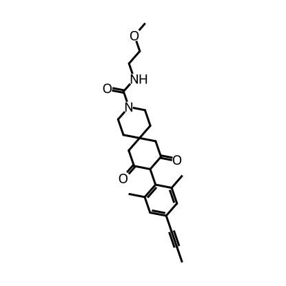 CC#Cc1cc(C)c(C2C(=O)CC3(CCN(C(=O)NCCOC)CC3)CC2=O)c(C)c1